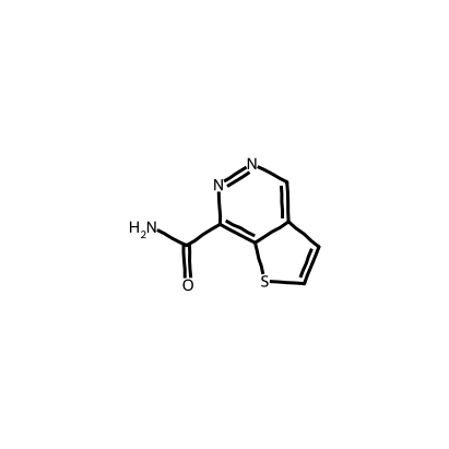 NC(=O)c1nncc2ccsc12